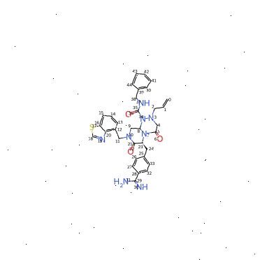 C=CCN1CC(=O)N2C(CN(Cc3cccc4scnc34)C(=O)[C@@H]2Cc2ccc(C(=N)N)cc2)N1C(=O)NCc1ccccc1